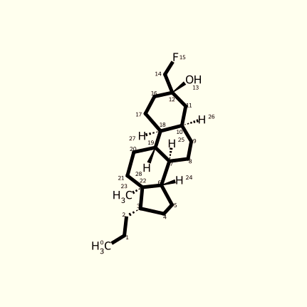 CCC[C@H]1CC[C@H]2[C@@H]3CC[C@@H]4C[C@@](O)(CF)CC[C@@H]4[C@H]3CC[C@]12C